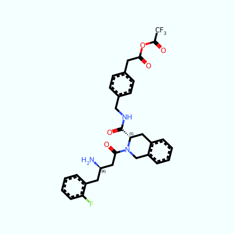 N[C@@H](CC(=O)N1Cc2ccccc2C[C@H]1C(=O)NCc1ccc(CC(=O)OC(=O)C(F)(F)F)cc1)Cc1ccccc1F